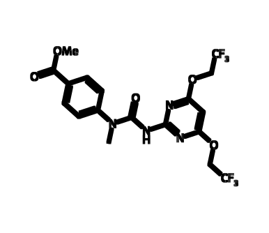 COC(=O)c1ccc(N(C)C(=O)Nc2nc(OCC(F)(F)F)cc(OCC(F)(F)F)n2)cc1